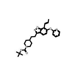 CC=Cc1c(Oc2ccccn2)ccc2c(CCC3CCN(C(=O)OC(C)(C)C)CC3)noc12